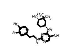 CC1(C)C[C@H](Nc2nc(NCCc3ccc(C#N)c(Br)c3)ncc2C#N)CC[C@@H]1O